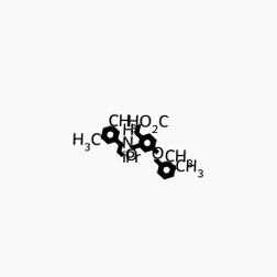 Cc1cc(C)cc(C(CC(C)C)NC(=O)c2cc(OCc3cccc(C)c3C)ccc2CCC(=O)O)c1